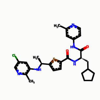 Cc1cc(NC(=O)[C@H](CC2CCCC2)NC(=O)c2ccc([C@H](C)Nc3cc(Cl)cnc3C)s2)ccn1